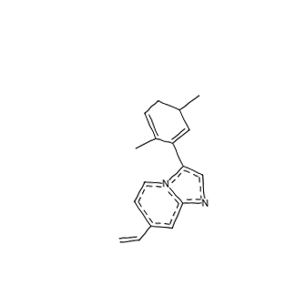 C=Cc1ccn2c(C3=CC(C)CC=C3C)cnc2c1